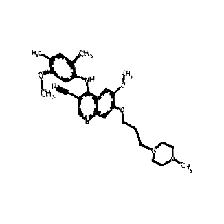 COc1cc(Nc2c(C#N)cnc3cc(OCCCN4CCN(C)CC4)c(OC)cc23)c(C)cc1C